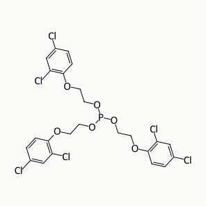 Clc1ccc(OCCOP(OCCOc2ccc(Cl)cc2Cl)OCCOc2ccc(Cl)cc2Cl)c(Cl)c1